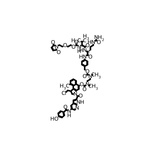 Cc1cccc2c(OC(=O)N(C)CCN(C)C(=O)OCc3ccc(NC(=O)[C@H](CCCNC(N)=O)NC(=O)[C@@H](NC(=O)OCCOCCN4C(=O)C=CC4=O)C(C)C)cc3)cc3c(c12)C(CCl)CN3C(=O)c1cc2cc(NC(=O)c3ccc(O)cc3)cnc2[nH]1